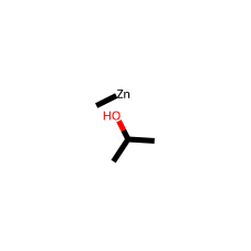 CC(C)O.[CH3][Zn]